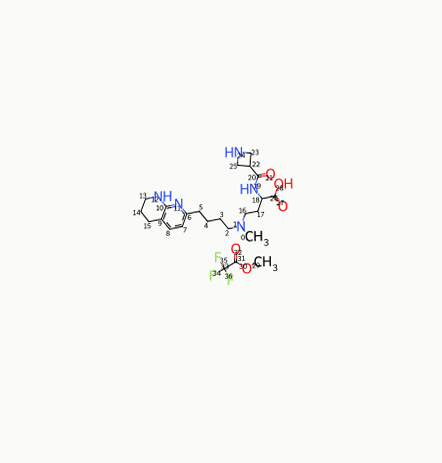 CN(CCCCc1ccc2c(n1)NCCC2)CCC(NC(=O)C1CNC1)C(=O)O.COC(=O)C(F)(F)F